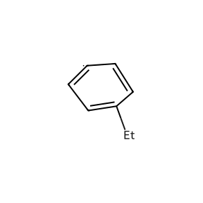 CCc1cc[c]cc1